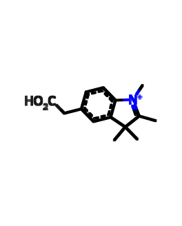 CC1=[N+](C)c2ccc(CC(=O)O)cc2C1(C)C